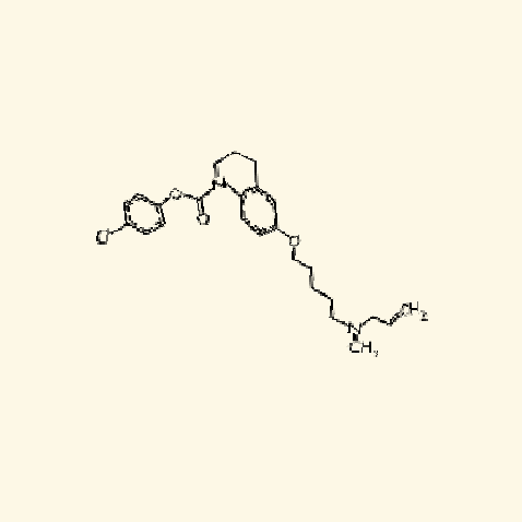 C=CCN(C)CCCCCOc1ccc2c(c1)CCCN2C(=O)Oc1ccc(Cl)cc1